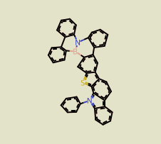 c1ccc(-n2c3ccccc3c3ccc4c5cc6c(cc5sc4c32)B2c3ccccc3-c3ccccc3N2c2ccccc2-6)cc1